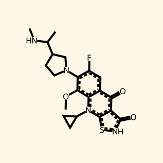 CNC(C)C1CCN(c2c(F)cc3c(=O)c4c(=O)[nH]sc4n(C4CC4)c3c2OC)C1